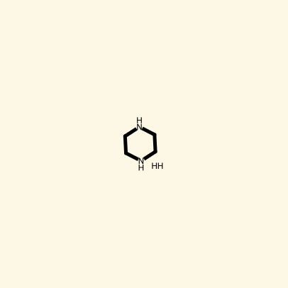 C1CNCCN1.[HH]